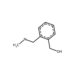 C[N]Cc1ccccc1CO